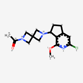 COc1nc(Cl)cc2c1C(N1CC3(CN(C(C)=O)C3)C1)CC2